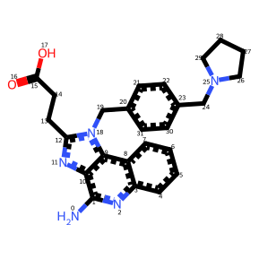 Nc1nc2ccccc2c2c1nc(CCC(=O)O)n2Cc1ccc(CN2CCCC2)cc1